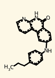 CCCc1ccc(Nc2ccc3c(=O)[nH]c4ncccc4c3c2)cc1